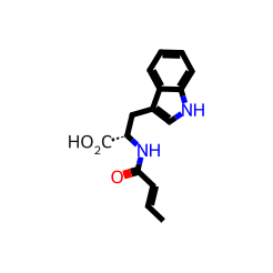 CC=CC(=O)N[C@@H](Cc1c[nH]c2ccccc12)C(=O)O